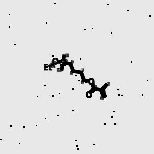 C=C(C)C(=O)OCCCC[Si](C)(C)OCC